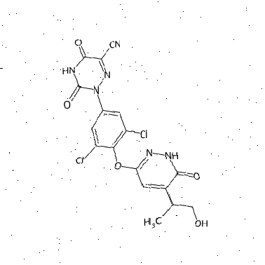 CC(CO)c1cc(Oc2c(Cl)cc(-n3nc(C#N)c(=O)[nH]c3=O)cc2Cl)n[nH]c1=O